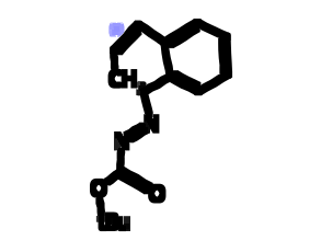 C/C=C\c1ccccc1CN=NC(=O)OC(C)(C)C